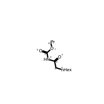 CCCCCCCC(=O)NC(=O)OC(C)C